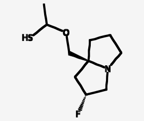 CC(S)OC[C@@]12CCCN1C[C@H](F)C2